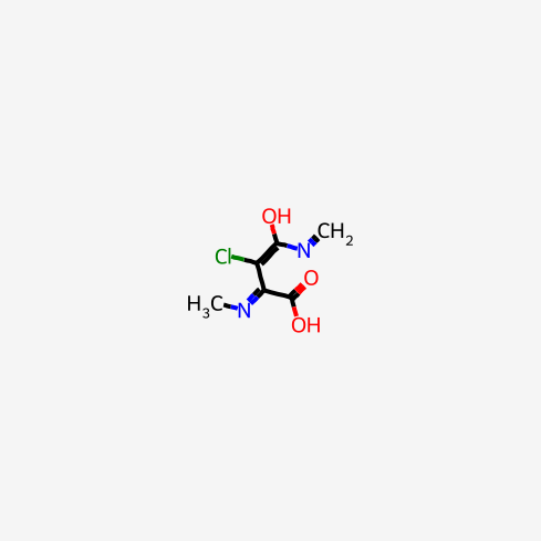 C=N/C(O)=C(Cl)\C(=N/C)C(=O)O